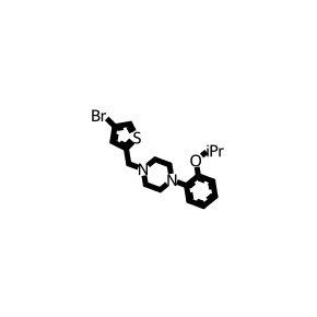 CC(C)Oc1ccccc1N1CCN(Cc2cc(Br)cs2)CC1